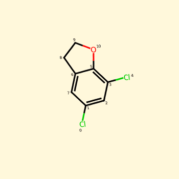 Clc1cc(Cl)c2c(c1)CCO2